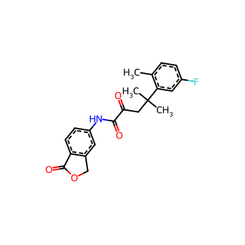 Cc1ccc(F)cc1C(C)(C)CC(=O)C(=O)Nc1ccc2c(c1)COC2=O